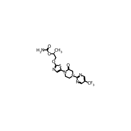 C[C@@H](COc1ncc(N2CCN(c3ncc(C(F)(F)F)cn3)CC2=O)s1)OC(N)=O